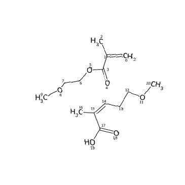 C=C(C)C(=O)OCCOC.COCCC=C(C)C(=O)O